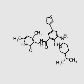 CCN(c1cc(-c2ccsc2)cc(C(=O)NCc2c(C)cc(C)[nH]c2=O)c1C)[C@H]1CC[C@H](N(C)C)CC1